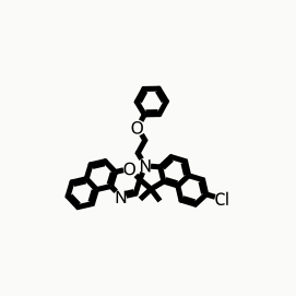 CC1(C)c2c(ccc3cc(Cl)ccc23)N(CCOc2ccccc2)C12C=Nc1c(ccc3ccccc13)O2